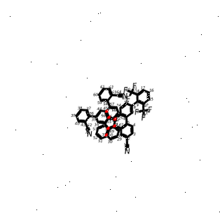 N#Cc1ccc(-c2cc(-c3c(C(F)(F)F)cccc3C(F)(F)F)ccc2-n2c3ccccc3c3cc(-c4ccccc4C#N)ccc32)c(-n2c3ccccc3c3cc(-c4ccccc4C#N)ccc32)c1